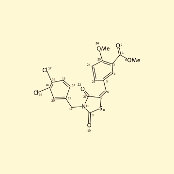 COC(=O)c1cc(/C=C2/SC(=O)N(Cc3ccc(Cl)c(Cl)c3)C2=O)ccc1OC